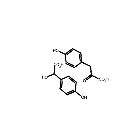 O=C(O)C(=O)Cc1ccc(O)cc1.O=C(O)C(O)c1ccc(O)cc1